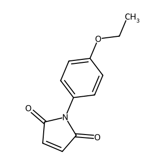 CCOc1ccc(N2C(=O)C=CC2=O)cc1